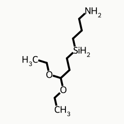 CCOC(CC[SiH2]CCCN)OCC